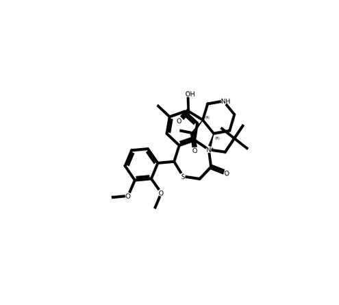 COc1cccc(C2SCC(=O)[N+](CC(C)(C)C)([C@@H]3CCNC[C@@]3(C(C)=O)C(=O)O)c3ccc(C)cc32)c1OC